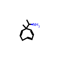 CC(N)C1(C)/C=C\C=C\C/C=C\1